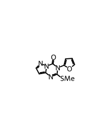 CSc1nc2ccnn2c(=O)n1-c1ccco1